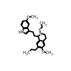 CCCc1cc2c(cc1OC)CCN(SCC)C2CCc1c[nH]c2ccc(OC)cc12